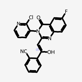 N#Cc1ccccc1/C(O)=C/c1nc2ccc(F)cc2c(=O)n1-c1cccnc1Cl